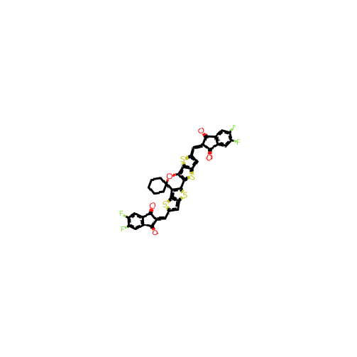 O=C1C(=Cc2cc3sc4c(c3s2)OC2(CCCCC2)c2c-4sc3cc(C=C4C(=O)c5cc(F)c(F)cc5C4=O)sc23)C(=O)c2cc(F)c(F)cc21